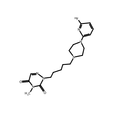 Cn1c(=O)cnn(CCCCCN2CCN(c3cccc([18F])n3)CC2)c1=O